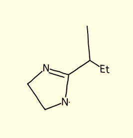 CCC(C)C1=NCC[N]1